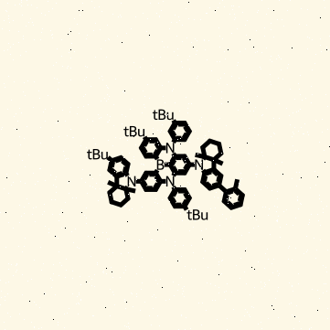 Cc1ccccc1-c1ccc2c(c1)C1(C)CCCCC1(C)N2c1cc2c3c(c1)N(c1cccc(C(C)(C)C)c1)c1cc(C(C)(C)C)ccc1B3c1cc(N3c4ccc(C(C)(C)C)cc4C4(C)CCCCC34C)ccc1N2c1ccc(C(C)(C)C)cc1